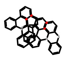 O=P1(c2ccccc2)c2c(-c3ccccc3N3c4ccccc4Sc4ccccc43)cccc2-c2cccc(-c3ccccc3N3c4ccccc4Sc4ccccc43)c21